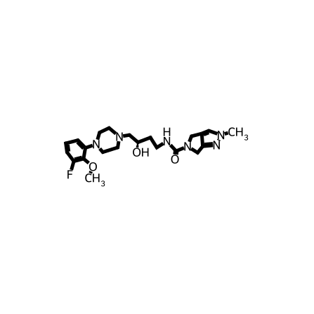 COc1c(F)cccc1N1CCN(C[C@H](O)CCNC(=O)N2Cc3cn(C)nc3C2)CC1